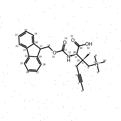 CC#CC[C@@](C)(C[N+](C)(C)C)[C@@H](NC(=O)OCC1c2ccccc2-c2ccccc21)C(=O)O